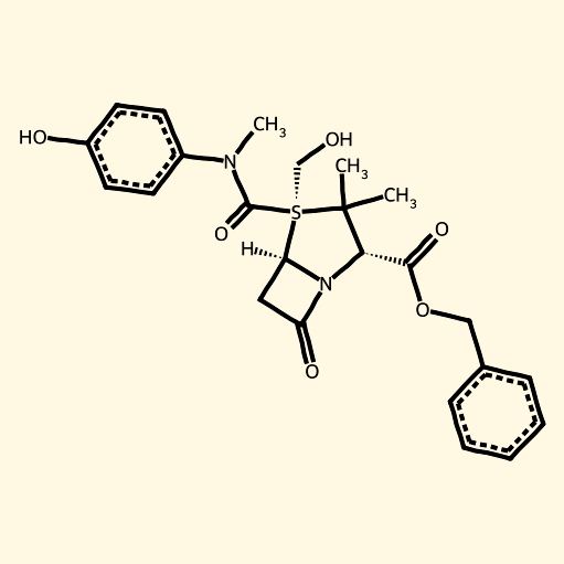 CN(C(=O)[S@]1(CO)[C@@H]2CC(=O)N2[C@@H](C(=O)OCc2ccccc2)C1(C)C)c1ccc(O)cc1